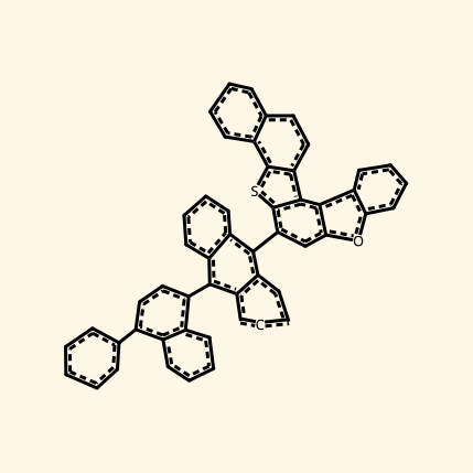 c1ccc(-c2ccc(-c3c4ccccc4c(-c4cc5oc6ccccc6c5c5c4sc4c6ccccc6ccc45)c4ccccc34)c3ccccc23)cc1